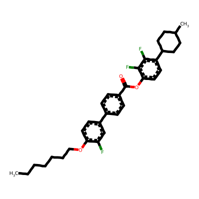 CCCCCCCOc1ccc(-c2ccc(C(=O)Oc3ccc(C4CCC(C)CC4)c(F)c3F)cc2)cc1F